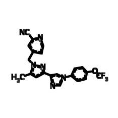 Cc1cc(-c2cn(-c3ccc(OC(F)(F)F)cc3)cn2)nn1Cc1ccnc(C#N)c1